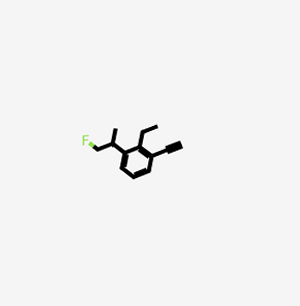 C#Cc1cccc([C](C)CF)c1CC